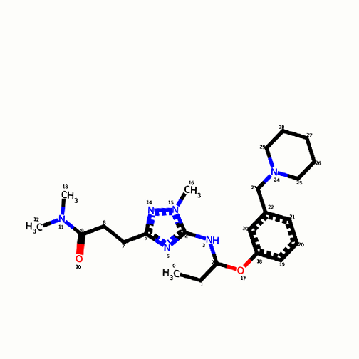 CCC(Nc1nc(CCC(=O)N(C)C)nn1C)Oc1cccc(CN2CCCCC2)c1